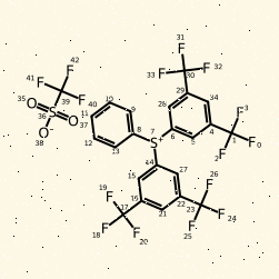 FC(F)(F)c1cc([S+](c2ccccc2)c2cc(C(F)(F)F)cc(C(F)(F)F)c2)cc(C(F)(F)F)c1.O=S(=O)([O-])C(F)(F)F